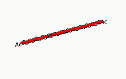 CC(=O)CCOCCOCCOCCOCCOCCOCCOCCOCCOCCOCCOCCOCCOCCOCCOCCOCCOCCOCCOCCOCCOCCOCCOCCOCCOCCC(C)=O